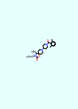 CCCCCN1C(=O)OC2(CCN(C3CCN(C(=O)c4c(C)cccc4C)CC3)CC2)C1CCCC